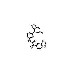 COc1ccc(F)cc1-c1cccc(NC(=O)C2(c3ccc4c(c3)OCO4)CC2)n1